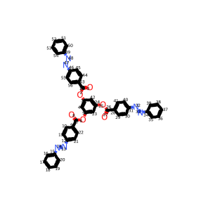 O=C(Oc1cc(OC(=O)c2ccc(/N=N/c3ccccc3)cc2)cc(OC(=O)c2ccc(/N=N/c3ccccc3)cc2)c1)c1ccc(/N=N/c2ccccc2)cc1